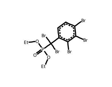 CCOP(=O)(OCC)C(Br)(Br)c1ccc(Br)c(Br)c1Br